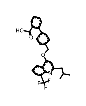 CC(C)Cc1cc(OCc2ccc(-c3ccccc3C(=O)O)cc2)c2cccc(C(F)(F)F)c2n1